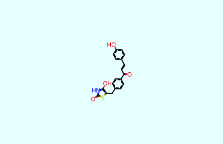 O=C(C=Cc1ccc(O)cc1)c1ccc(Cc2sc(=O)[nH]c2O)cc1